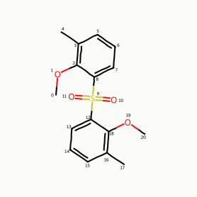 COc1c(C)cccc1S(=O)(=O)c1cccc(C)c1OC